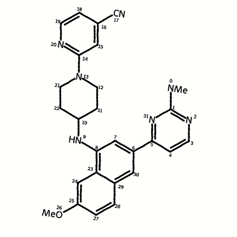 CNc1nccc(-c2cc(NC3CCN(c4cc(C#N)ccn4)CC3)c3cc(OC)ccc3c2)n1